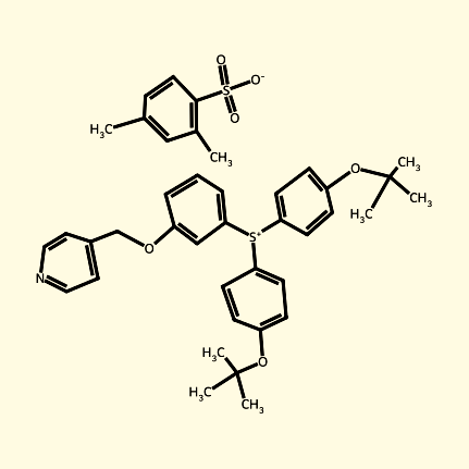 CC(C)(C)Oc1ccc([S+](c2ccc(OC(C)(C)C)cc2)c2cccc(OCc3ccncc3)c2)cc1.Cc1ccc(S(=O)(=O)[O-])c(C)c1